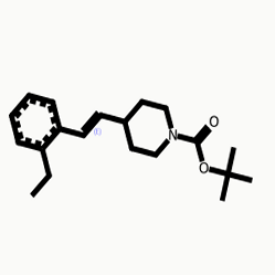 CCc1ccccc1/C=C/C1CCN(C(=O)OC(C)(C)C)CC1